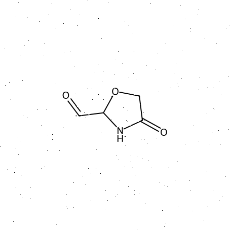 O=[C]C1NC(=O)CO1